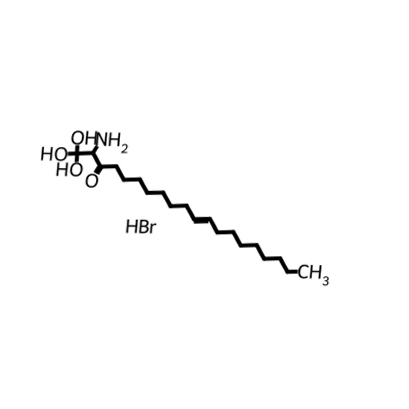 Br.CCCCCCCCC=CCCCCCCCC(=O)C(N)C(O)(O)O